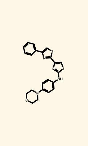 c1ccc(-c2csc(-c3csc(Nc4ccc(N5CCOCC5)cc4)n3)n2)cc1